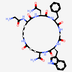 NCC(=O)NC1CCCNC(=O)CCC(C(N)=O)NC(=O)[C@H](Cc2c[nH]c3ccccc23)NC(=O)CNC(=O)C(Cc2ccccc2)NC(=O)[C@H](CC(N)=O)NC1=O